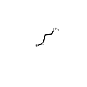 CCC[O][Bi]